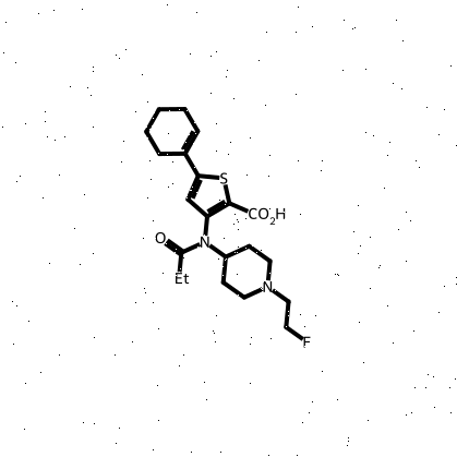 CCC(=O)N(c1cc(C2=CCCCC2)sc1C(=O)O)C1CCN(CCF)CC1